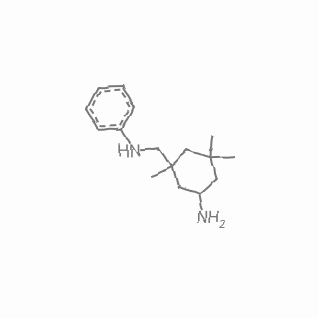 CC1(C)CC(N)CC(C)(CNc2ccccc2)C1